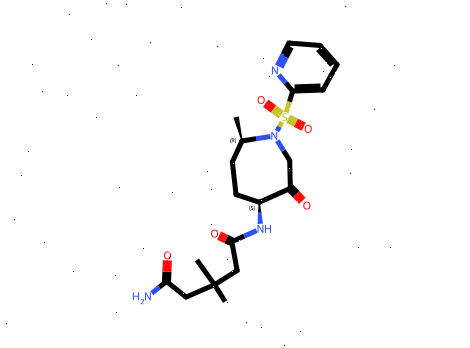 C[C@@H]1CC[C@H](NC(=O)CC(C)(C)CC(N)=O)C(=O)CN1S(=O)(=O)c1ccccn1